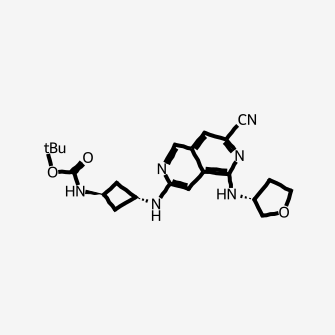 CC(C)(C)OC(=O)N[C@H]1C[C@H](Nc2cc3c(N[C@@H]4CCOC4)nc(C#N)cc3cn2)C1